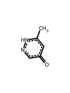 Cc1cc(=O)cn[nH]1